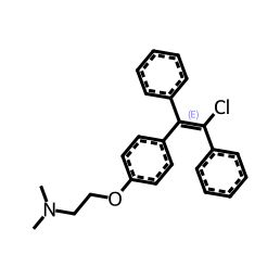 CN(C)CCOc1ccc(/C(=C(/Cl)c2ccccc2)c2ccccc2)cc1